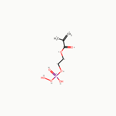 C=C(C)C(=O)OCCOP(=O)(O)OO